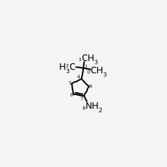 CC(C)(C)C1CC=C(N)C1